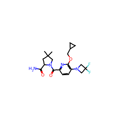 CC1(C)CC(C(N)=O)N(C(=O)c2ccc(N3CC(F)(F)C3)c(OCC3CC3)n2)C1